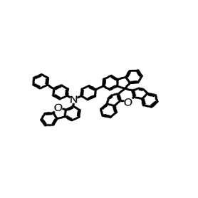 c1ccc(-c2ccc(N(c3ccc(-c4ccc5c(c4)C4(c6ccccc6-5)c5ccc6ccccc6c5Oc5c4ccc4ccccc54)cc3)c3cccc4c3oc3ccccc34)cc2)cc1